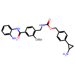 COc1cc(C(=O)Nc2ccccc2N)ccc1CNC(=O)OCc1ccc(C2CC2N)cc1